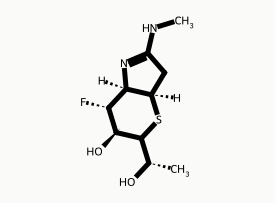 CNC1=N[C@@H]2[C@@H](F)[C@H](O)C([C@H](C)O)S[C@@H]2C1